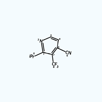 CC(C)c1nccc(C#N)c1C(F)(F)F